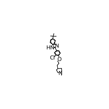 CN1CCC(CCCOc2ccc(-c3nc4cc(C(C)(C)C)ccc4[nH]3)cc2Cl)CC1